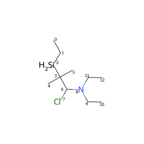 CC[SiH2]C(C)(C)C(Cl)N(CC)CC